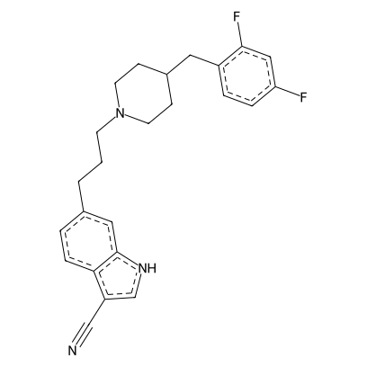 N#Cc1c[nH]c2cc(CCCN3CCC(Cc4ccc(F)cc4F)CC3)ccc12